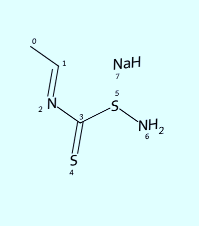 CC=NC(=S)SN.[NaH]